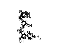 CP(=O)(OCC1O[C@@H](n2cnc3c(=O)[nH]c(N)nc32)CC1O)O[C@@H]1C[C@H](n2cnc(N)nc2=O)O[C@@H]1CO